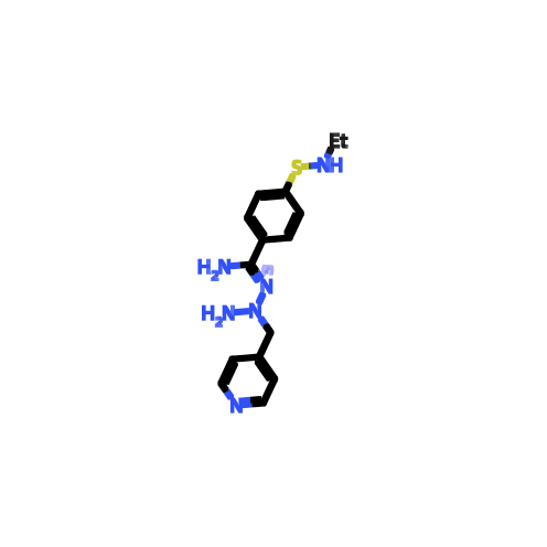 CCNSc1ccc(/C(N)=N/N(N)Cc2ccncc2)cc1